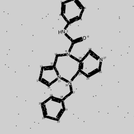 O=C(Nc1ccccc1)N1Cc2cccn2N(Cc2ccccc2)c2ccncc21